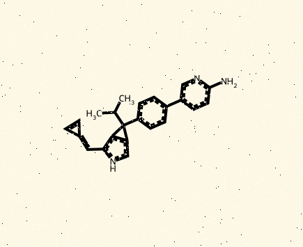 CC(C)C1(c2ccc(-c3ccc(N)nc3)cc2)c2c[nH]c(C=C3C=C3)c21